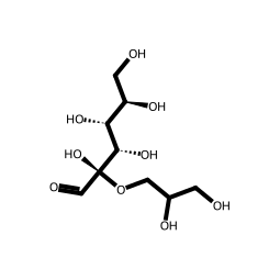 O=C[C@@](O)(OCC(O)CO)[C@@H](O)[C@H](O)[C@H](O)CO